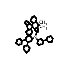 CC1(C)c2ccccc2C2(c3ccccc3-c3ccccc32)c2cc(N(c3cccc(-c4ccccc4)c3)c3ccc(-c4ccccc4)c(-c4ccccc4)c3)ccc21